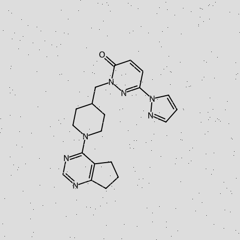 O=c1ccc(-n2cccn2)nn1CC1CCN(c2ncnc3c2CCC3)CC1